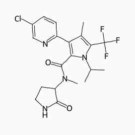 Cc1c(-c2ccc(Cl)cn2)c(C(=O)N(C)C2CCNC2=O)n(C(C)C)c1C(F)(F)F